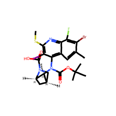 CSc1nc2c(F)c(Br)c(C)cc2c(N(C(=O)OC(C)(C)C)[C@H]2[C@@H]3C[C@H]2N(C(=O)O)C3)c1I